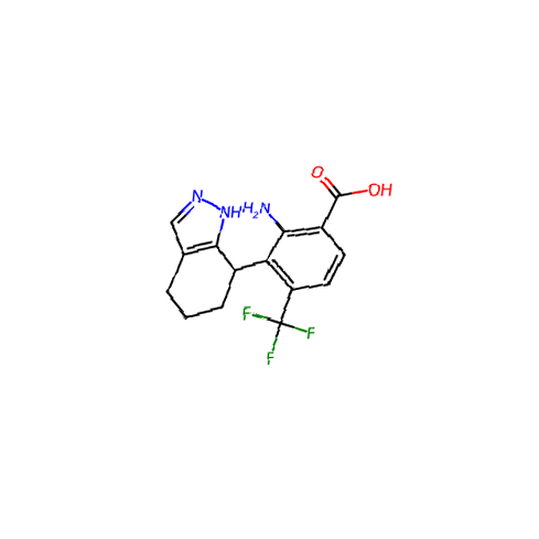 Nc1c(C(=O)O)ccc(C(F)(F)F)c1C1CCCc2cn[nH]c21